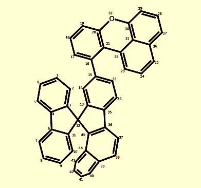 c1ccc2c(c1)-c1ccccc1C21c2cc(-c3cccc4c3-c3cccc5cccc(c35)O4)ccc2-c2ccc3ccccc3c21